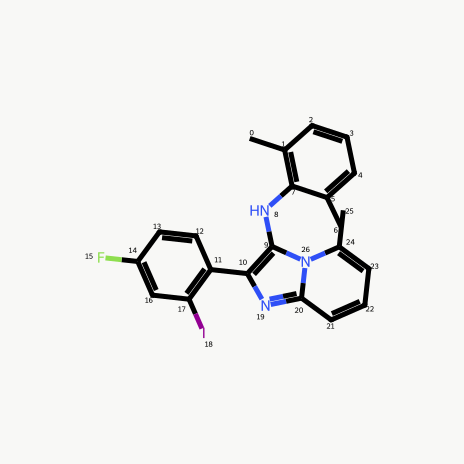 Cc1cccc(C)c1Nc1c(-c2ccc(F)cc2I)nc2cccc(C)n12